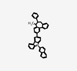 CC1c2ccc(-c3ccc4c(c3)c3ccccc3n4-c3ccc4ccccc4c3)cc2-c2ccccc2CC1c1ccccc1